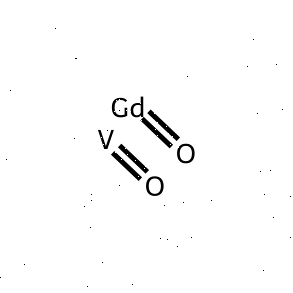 [O]=[Gd].[O]=[V]